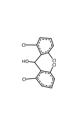 OC(c1c(Cl)cccc1Cl)c1c(Cl)cccc1Cl